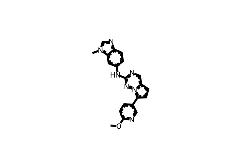 COc1ccc(-c2ccc3cnc(Nc4ccc5ncn(C)c5c4)nn23)cn1